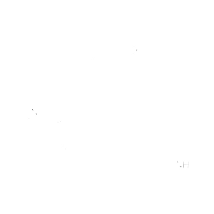 NC(=S)c1ccc(O)c(-c2cccc3[nH]ccc23)c1